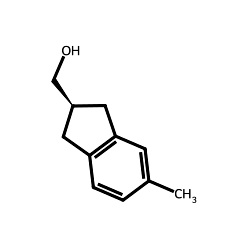 Cc1ccc2c(c1)C[C@H](CO)C2